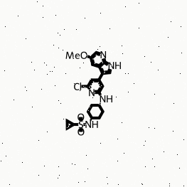 COc1cnc2[nH]cc(-c3cc(Cl)nc(N[C@H]4CC[C@H](NS(=O)(=O)C5CC5)CC4)c3)c2c1